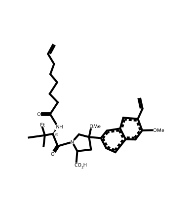 C=CCCCCCC(=O)N[C@H](C(=O)N1CC(OC)(c2ccc3cc(OC)c(C=C)cc3c2)CC1C(=O)O)C(C)(C)CC